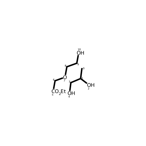 CC(O)CO.CCOC(=O)COCCO